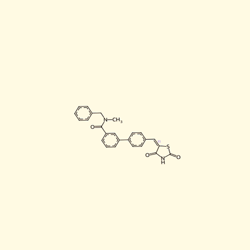 CN(Cc1ccccc1)C(=O)c1cccc(-c2ccc(/C=C3/SC(=O)NC3=O)cc2)c1